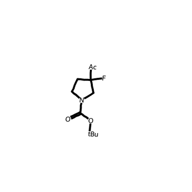 CC(=O)C1(F)CCN(C(=O)OC(C)(C)C)C1